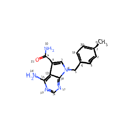 Cc1ccc(Cn2cc(C(N)=O)c3c(N)ncnc32)cc1